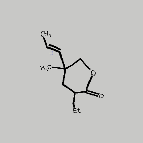 C/C=C/C1(C)COC(=O)C(CC)C1